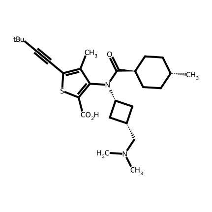 Cc1c(C#CC(C)(C)C)sc(C(=O)O)c1N(C(=O)[C@H]1CC[C@H](C)CC1)[C@H]1C[C@@H](CN(C)C)C1